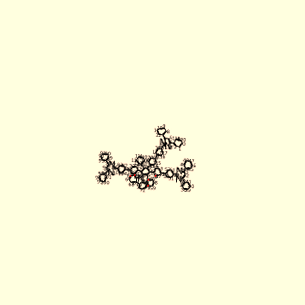 c1ccc(-c2cc(-c3ccccc3)nc(-c3ccc(-c4ccc(-c5c(-c6ccc(-c7ccc(-c8nc(-c9ccccc9)cc(-c9ccccc9)n8)cc7)cc6)c(-c6ccccc6)c(-n6c7ccccc7c7ccccc76)c(-c6ccc(-c7ccc(-c8nc(-c9ccccc9)cc(-c9ccccc9)n8)cc7)cc6)c5-c5ccccc5)cc4)cc3)n2)cc1